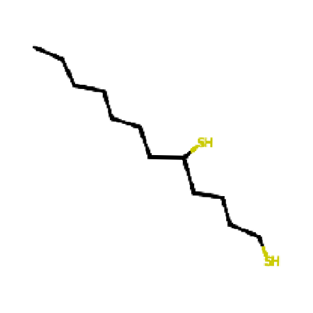 CCCCCCCC(S)CCCCS